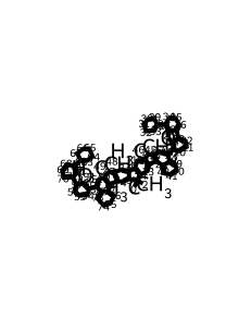 CC1(C)c2cc3c(cc2-c2cc4c(cc21)-c1c(cc(-c2cccc5c2oc2c(C6CCCCC6)cccc25)c2ccccc12)C4(C)C)C(C)(C)c1cc(-c2cccc4c2oc2c(C5CCCCC5)cccc24)c2ccccc2c1-3